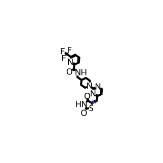 O=C1NC(=O)/C(=C\c2ccnc(N3CCC(CNC(=O)c4cccc(C(F)(F)F)n4)CC3)n2)S1